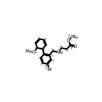 COC1C=C[C]=CC1c1ccc(Br)cc1CNCCC(=O)OC(C)(C)C